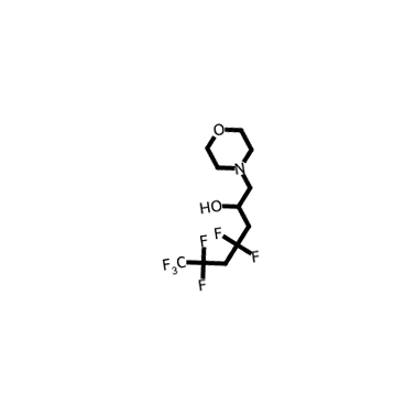 OC(CN1CCOCC1)CC(F)(F)CC(F)(F)C(F)(F)F